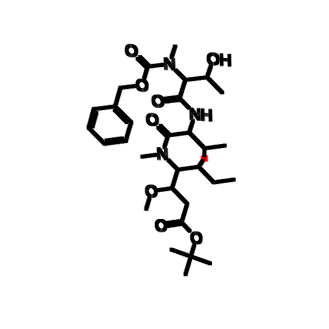 CCC(C)C(C(CC(=O)OC(C)(C)C)OC)N(C)C(=O)C(NC(=O)C(C(C)O)N(C)C(=O)OCc1ccccc1)C(C)C